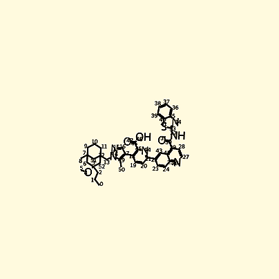 CCCC1(OC)CC2(C)CCCC(Cn3ncc(-c4ccc(-c5ccc6nccc(C(=O)Nc7nc8ccccc8s7)c6c5)nc4C(=O)O)c3C)(C2)C1